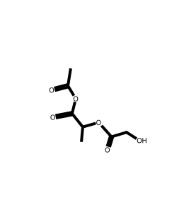 CC(=O)OC(=O)C(C)OC(=O)CO